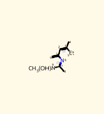 C=C(/C=C(/C)CC)/N=C(/C)N(C)O